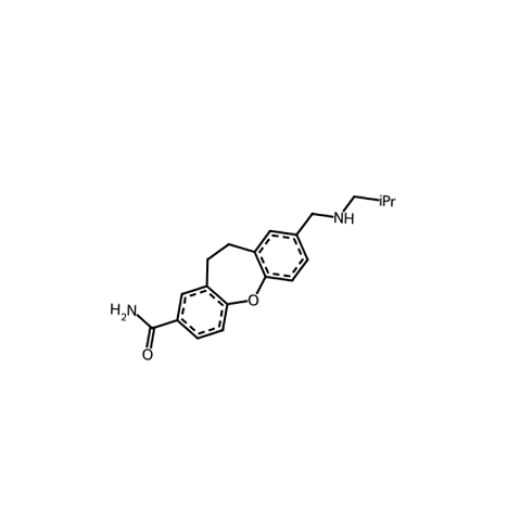 CC(C)CNCc1ccc2c(c1)CCc1cc(C(N)=O)ccc1O2